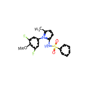 COc1c(F)cc(-n2c(C)ccc2NS(=O)(=O)c2ccccc2)cc1F